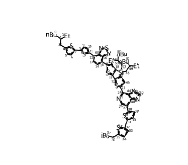 CCCCC(CC)Cc1ccc(-c2ccc(-c3ccc(-c4cc5c(s4)-c4sc(-c6ncc(-c7ccc(-c8ccc(CC(C)CC)s8)s7)c7nsnc67)cc4[Si]5(CC(CC)CCCC)CC(CC)CCCC)c4nsnc34)s2)s1